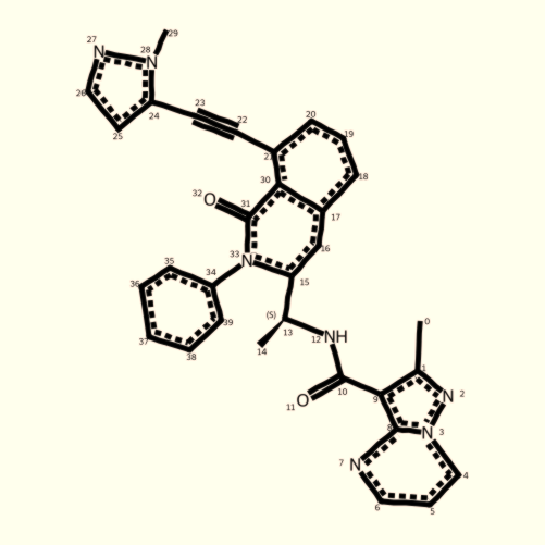 Cc1nn2cccnc2c1C(=O)N[C@@H](C)c1cc2cccc(C#Cc3ccnn3C)c2c(=O)n1-c1ccccc1